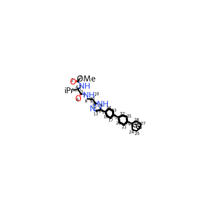 COC(=O)N[C@@H](C(=O)NC[C@H](C)c1ncc(-c2ccc(-c3ccc(C45CCC(CC4)CC5)cc3)cc2)[nH]1)C(C)C